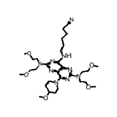 COCCN(CCOC)c1nc(N2CCC(OC)CC2)c2nc(N(CCOC)CCOC)nc(NCCCCCC#N)c2n1